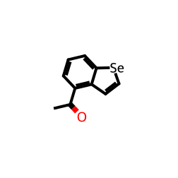 CC(=O)c1cccc2[se]ccc12